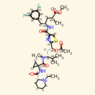 CCN1CCCC[C@@H]1C(=O)NC1(C(=O)N(C)[C@H](C[C@@H](OC(C)=O)c2nc(C(=O)N[C@@H](Cc3cc(F)cc(F)c3)C[C@H](C)C(=O)OC)cs2)C(C)C)CC1